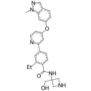 CCc1cc(-c2cc(Oc3ccc4cnn(C)c4c3)ccn2)ccc1C(=O)NC1(CO)CNC1